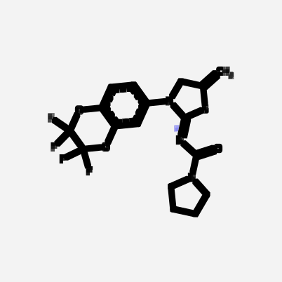 C=C1CN(c2ccc3c(c2)OC(F)(F)C(F)(F)O3)/C(=N/C(=O)N2CCCC2)S1